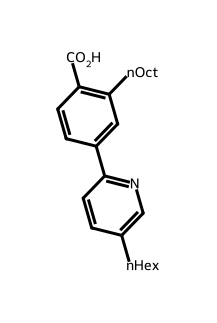 CCCCCCCCc1cc(-c2ccc(CCCCCC)cn2)ccc1C(=O)O